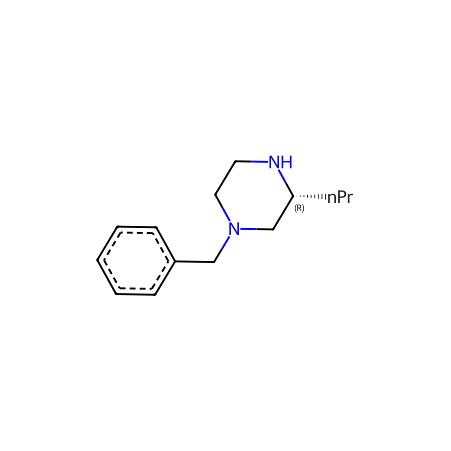 CCC[C@@H]1CN(Cc2ccccc2)CCN1